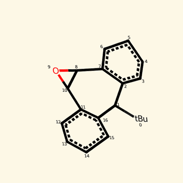 CC(C)(C)C1c2ccccc2C2OC2c2ccccc21